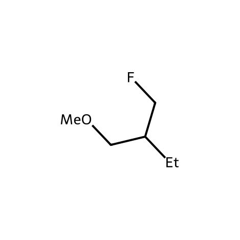 CCC(CF)COC